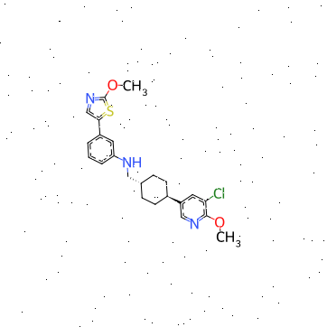 COc1ncc(-c2cccc(NC[C@H]3CC[C@H](c4cnc(OC)c(Cl)c4)CC3)c2)s1